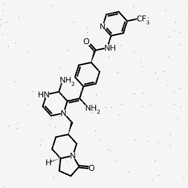 N/C(C1=CC[C@H](C(=O)Nc2cc(C(F)(F)F)ccn2)C=C1)=C1/C(N)NC=CN1C[C@@H]1CC[C@@H]2CCC(=O)N2C1